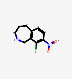 O=[N+]([O-])c1ccc2c(c1Br)CNCCC2